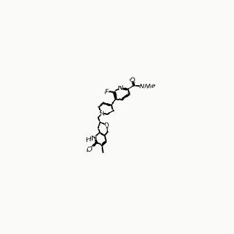 CNC(=O)c1ccc(C2=CCN(CC3Cc4[nH]c(=O)c(C)cc4CO3)CC2)c(F)n1